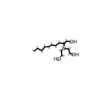 CCCCCCCCC(CO)N(CCO)CCO